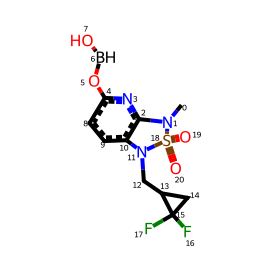 CN1c2nc(OBO)ccc2N(CC2CC2(F)F)S1(=O)=O